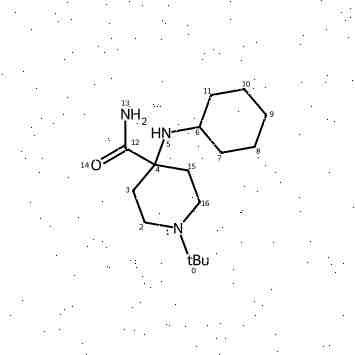 CC(C)(C)N1CCC(NC2CCCCC2)(C(N)=O)CC1